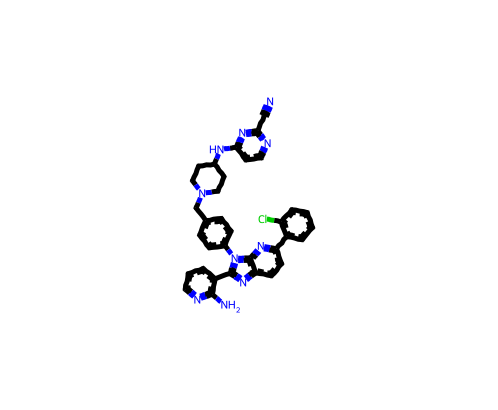 N#Cc1nccc(NC2CCN(Cc3ccc(-n4c(-c5cccnc5N)nc5ccc(-c6ccccc6Cl)nc54)cc3)CC2)n1